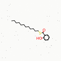 CCCCCCCCCCCCSC(=O)c1ccccc1O